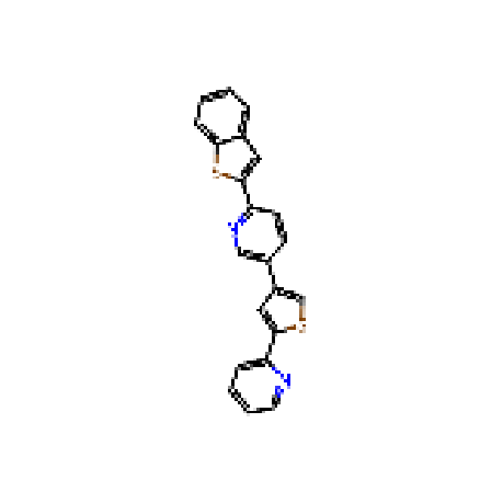 c1ccc(-c2cc(-c3ccc(-c4cc5ccccc5s4)nc3)cs2)nc1